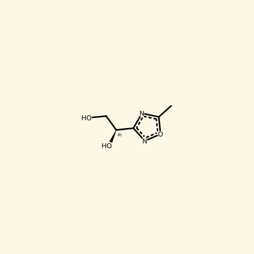 Cc1nc([C@@H](O)CO)no1